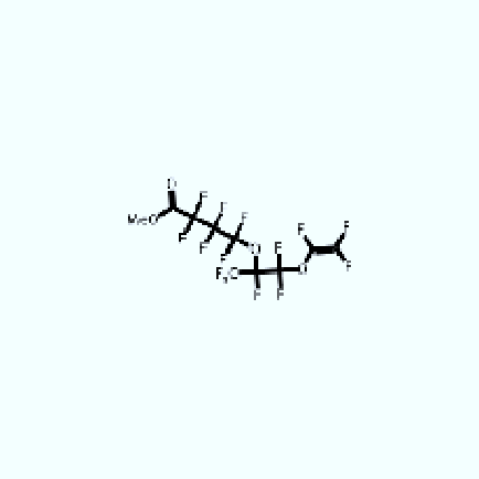 COC(=O)C(F)(F)C(F)(F)C(F)(F)OC(F)(C(F)(F)F)C(F)(F)OC(F)=C(F)F